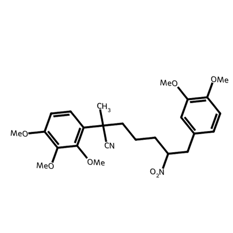 COc1ccc(CC(CCCC(C)(C#N)c2ccc(OC)c(OC)c2OC)[N+](=O)[O-])cc1OC